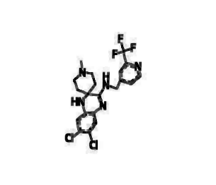 CN1CCC2(CC1)Nc1cc(Cl)c(Cl)cc1N=C2NCc1ccnc(C(F)(F)F)c1